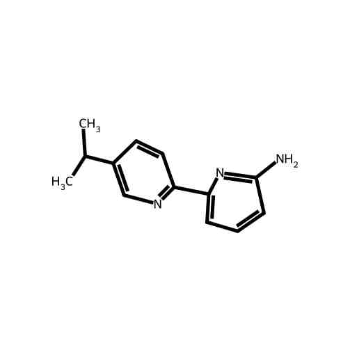 CC(C)c1ccc(-c2cccc(N)n2)nc1